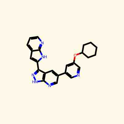 c1cnc2[nH]c(-c3n[nH]c4ncc(-c5cncc(OC6CCCCC6)c5)cc34)cc2c1